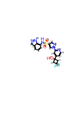 Cn1ncc2cccc(NS(=O)(=O)c3cnn(-c4cc(C5(O)CC(F)(F)C5)ccn4)c3)c21